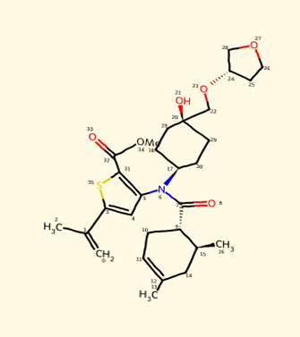 C=C(C)c1cc(N(C(=O)[C@H]2CC=C(C)C[C@@H]2C)[C@H]2CC[C@](O)(CO[C@H]3CCOC3)CC2)c(C(=O)OC)s1